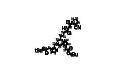 CC(C)(C)OC(=O)Cn1ccnc1CN(CCCCCC(=O)NCC(=O)N1CCC[C@H]1C#N)Cc1nccn1CC(=O)OC(C)(C)C